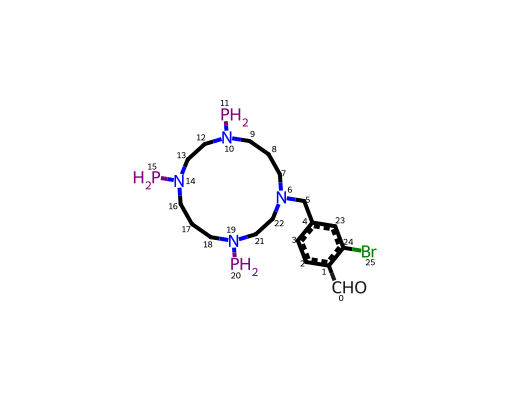 O=Cc1ccc(CN2CCCN(P)CCN(P)CCCN(P)CC2)cc1Br